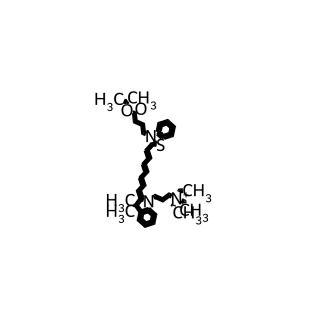 CC[N+](CC)(CC)CCCN1\C(=C/C=C/C=C/C=C/c2sc3ccccc3[n+]2CCCC(=O)OC(C)C)C(C)(C)c2ccccc21